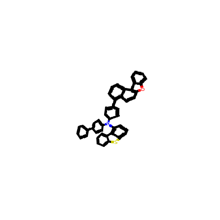 c1ccc(-c2ccc(N(c3ccc(-c4cccc5c4ccc4oc6ccccc6c45)cc3)c3cccc4sc5ccccc5c34)cc2)cc1